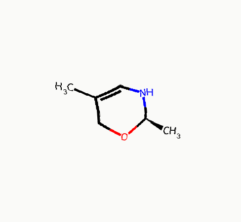 CC1=CN[C@@H](C)OC1